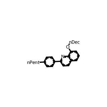 CCCCCCCCCCOc1cccc2ccc(-c3ccc(CCCCC)cc3)nc12